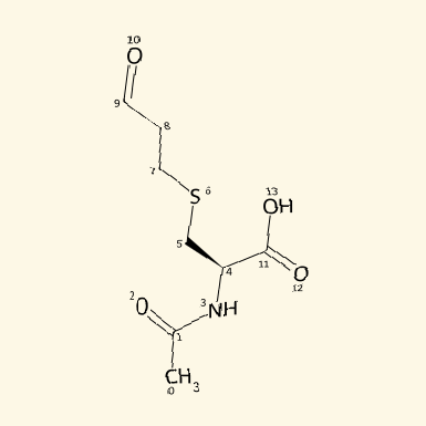 CC(=O)N[C@@H](CSCCC=O)C(=O)O